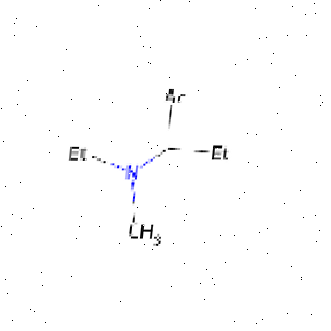 CCC(C(C)=O)N(C)CC